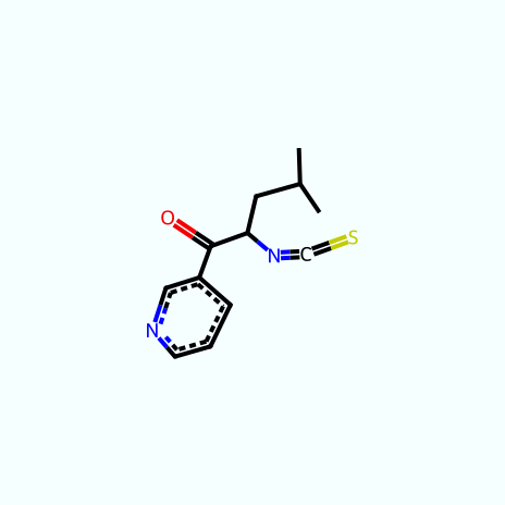 CC(C)CC(N=C=S)C(=O)c1cccnc1